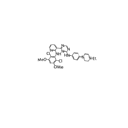 CCN1CCN(c2ccc(Nc3ncnc(-c4cccnc4Nc4c(Cl)c(OC)cc(OC)c4Cl)n3)cc2)CC1